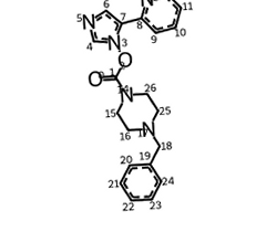 O=C(On1cncc1-c1ccccn1)N1CCN(Cc2ccccc2)CC1